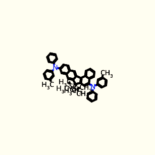 Cc1cccc(N(c2ccccc2)c2ccc3cc4c(cc3c2)C([Si](C)(C)C)([Si](C)(C)C)c2cc(N(c3ccccc3)c3cccc(C)c3)c3ccccc3c2-4)c1